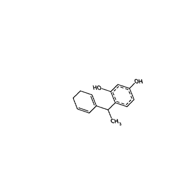 CC(C1=CCCC=C1)c1ccc(O)cc1O